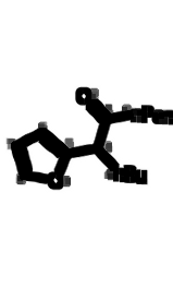 CCCCCC(=O)C(CCCC)c1ccco1